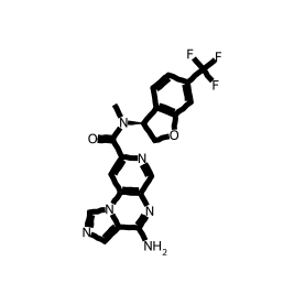 CN(C(=O)c1cc2c(cn1)nc(N)c1cncn12)[C@@H]1COc2cc(C(F)(F)F)ccc21